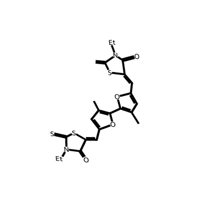 C=c1s/c(=C\c2cc(C)c(-c3oc(/C=C4\SC(=S)N(CC)C4=O)cc3C)o2)c(=O)n1CC